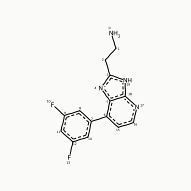 NCCc1nc2c(-c3cc(F)cc(F)c3)ccnc2[nH]1